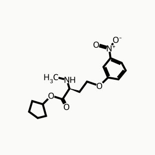 CN[C@@H](CCOc1cccc([N+](=O)[O-])c1)C(=O)OC1CCCC1